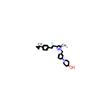 Cc1cc(/C(F)=C/c2ccc(C3(C(F)(F)F)CC3)cc2)nn1Cc1cccc(N2CCC(O)CC2)c1